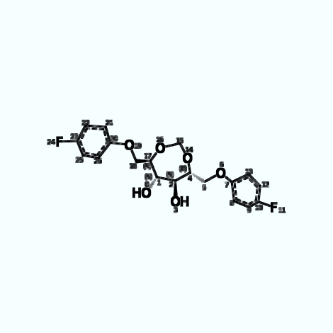 O[C@H]1[C@H](O)[C@@H](COc2ccc(F)cc2)OCO[C@@H]1COc1ccc(F)cc1